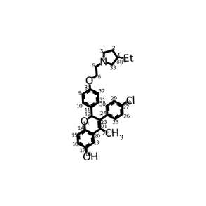 CC[C@@H]1CCN(CCOc2ccc(C3Oc4ccc(O)cc4C(C)=C3c3ccc(Cl)cc3)cc2)C1